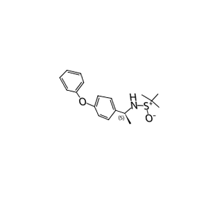 C[C@H](N[S+]([O-])C(C)(C)C)c1ccc(Oc2ccccc2)cc1